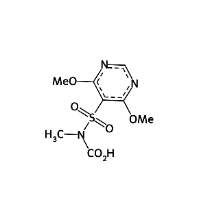 COc1ncnc(OC)c1S(=O)(=O)N(C)C(=O)O